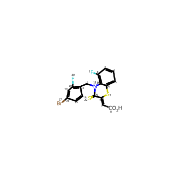 O=C(O)/C=C1\Sc2cccc(F)c2N(Cc2ccc(Br)cc2F)C1=S